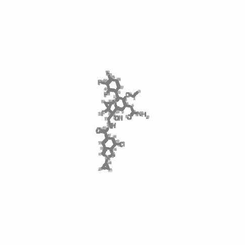 CCOc1c(CC(N)=O)cc([C@@](O)(CNC(=O)c2cc(Cl)c3nn(C4CC4)cc3c2)C2(F)CC2)nc1-c1ccc(F)c(F)c1F